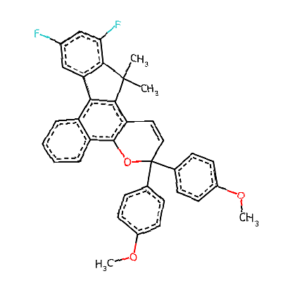 COc1ccc(C2(c3ccc(OC)cc3)C=Cc3c4c(c5ccccc5c3O2)-c2cc(F)cc(F)c2C4(C)C)cc1